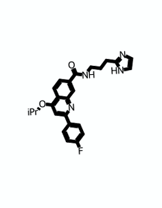 CC(C)Oc1cc(-c2ccc(F)cc2)nc2cc(C(=O)NCCCc3ncc[nH]3)ccc12